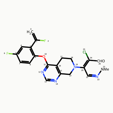 C=C(F)c1cc(F)ccc1Oc1ncnc2c1CCN(C(/C=N\NC)=C(\Cl)C=O)C2